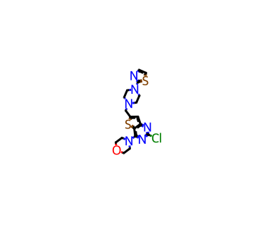 Clc1nc(N2CCOCC2)c2sc(CN3CCN(c4nccs4)CC3)cc2n1